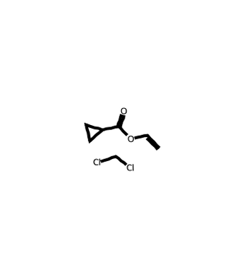 C=COC(=O)C1CC1.ClCCl